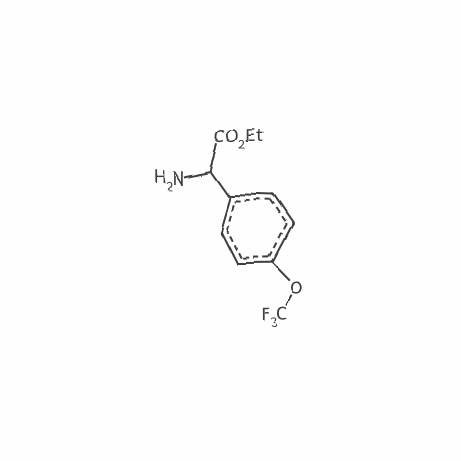 CCOC(=O)C(N)c1ccc(OC(F)(F)F)cc1